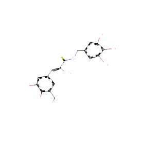 N#C/C(=C\c1cc(O)c(O)c(CF)c1)C(=S)NCc1cc(O)c(O)c(O)c1